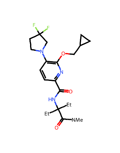 CCC(CC)(NC(=O)c1ccc(N2CCC(F)(F)C2)c(OCC2CC2)n1)C(=O)NC